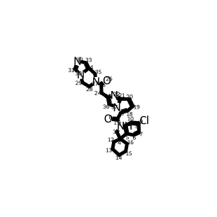 O=C(NCC1(c2ccc(Cl)cc2)CCCCC1)c1cccc2nc(CC(=O)N3CCn4cncc4C3)cn12